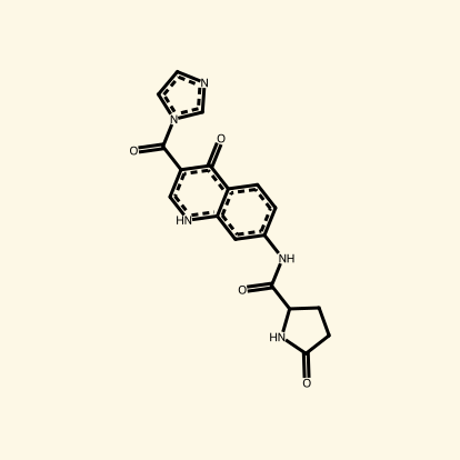 O=C1CCC(C(=O)Nc2ccc3c(=O)c(C(=O)n4ccnc4)c[nH]c3c2)N1